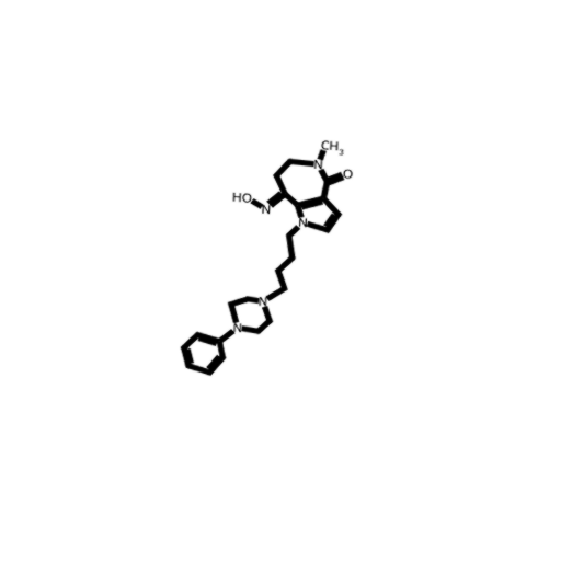 CN1CCC(=NO)c2c(ccn2CCCCN2CCN(c3ccccc3)CC2)C1=O